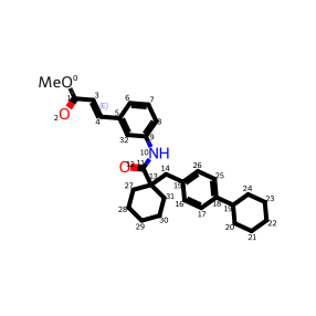 COC(=O)/C=C/c1cccc(NC(=O)C2(Cc3ccc(C4CCCCC4)cc3)CCCCC2)c1